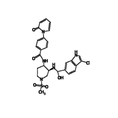 CS(=O)(=O)N1CCC(NC(=O)c2ccc(-n3ccccc3=O)cc2)[C@@H](NC(O)c2ccc3c(Cl)c[nH]c3c2)C1